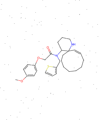 COc1ccc(OCC(=O)N(Cc2cccs2)C2CCCNC23/C=C\CCCCCCC3)cc1